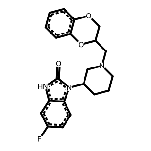 O=c1[nH]c2cc(F)ccc2n1C1CCCN(CC2COc3ccccc3O2)C1